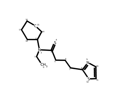 CCN(C(=S)CCCc1nccs1)C1CCCCC1